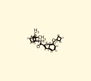 CC1(C)C(NC(=O)c2cc3cccc(OC4CCC4)c3s2)C2CCN1CC2